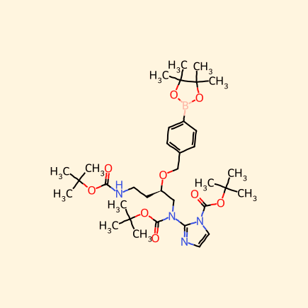 CC(C)(C)OC(=O)NCC[C@H](CN(C(=O)OC(C)(C)C)c1nccn1C(=O)OC(C)(C)C)OCc1ccc(B2OC(C)(C)C(C)(C)O2)cc1